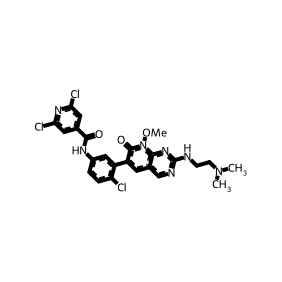 COn1c(=O)c(-c2cc(NC(=O)c3cc(Cl)nc(Cl)c3)ccc2Cl)cc2cnc(NCCN(C)C)nc21